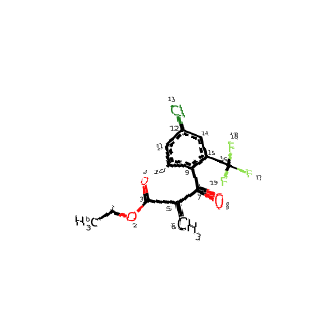 CCOC(=O)C(C)C(=O)c1ccc(Cl)cc1C(F)(F)F